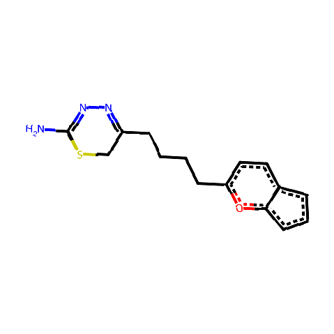 NC1=NN=C(CCCCc2ccc3cccc-3o2)CS1